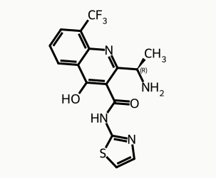 C[C@@H](N)c1nc2c(C(F)(F)F)cccc2c(O)c1C(=O)Nc1nccs1